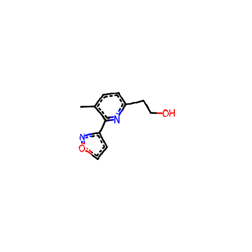 Cc1ccc(CCO)nc1-c1ccon1